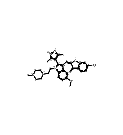 COc1ccc2c(c1)c(C=C1Oc3cc(O)ccc3C1=O)c(-c1c(C)noc1C)n2CCN1CCN(C)CC1